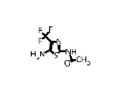 CC(=O)Nc1nc(C(F)(F)F)c(N)s1